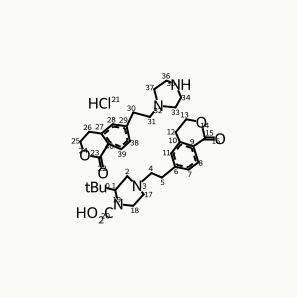 CC(C)(C)C1CN(CCc2ccc3c(c2)CCOC3=O)CCN1C(=O)O.Cl.O=C1OCCc2cc(CCN3CCNCC3)ccc21